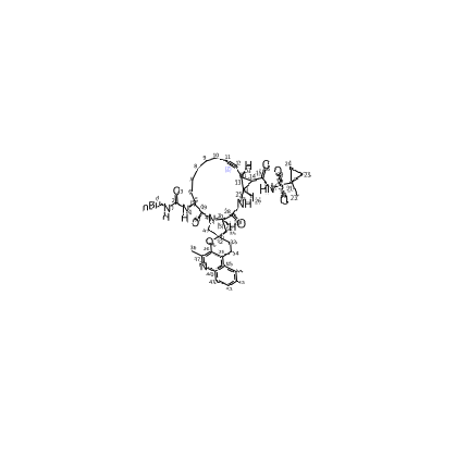 CCCCNC(=O)N[C@H]1CCCCC/C=C\[C@@H]2C(C(=O)NS(=O)(=O)C3(C)CC3)[C@]2(I)NC(=O)[C@@H]2C[C@]3(CCc4c(c(C)nc5ccccc45)O3)CN2C1=O